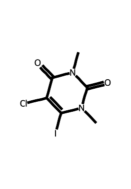 Cn1c(I)c(Cl)c(=O)n(C)c1=O